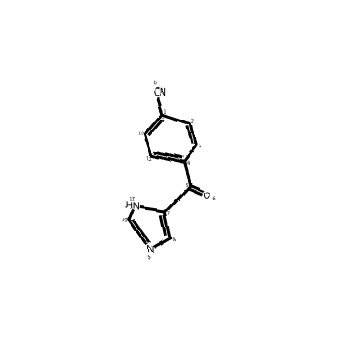 N#Cc1ccc(C(=O)c2cnc[nH]2)cc1